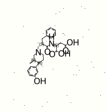 C[C@H]1CN(C[C@H](Cc2ccccc2)C(=O)N[C@@H](CC(=O)O)C(=O)O)CC[C@@]1(C)c1cccc(O)c1